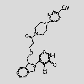 N#Cc1ccc(N2CCN(C(=O)CCOCC3c4ccccc4CN3c3cn[nH]c(=O)c3Cl)CC2)nc1